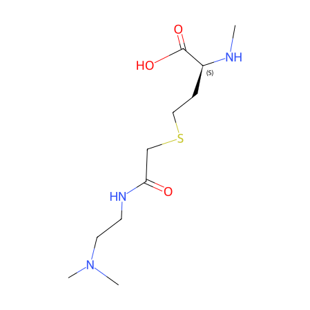 CN[C@@H](CCSCC(=O)NCCN(C)C)C(=O)O